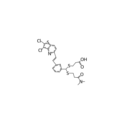 CN(C)C(=O)CCSC(SCCC(=O)O)c1cccc(C=Cc2ccc3sc(Cl)c(Cl)c3n2)c1